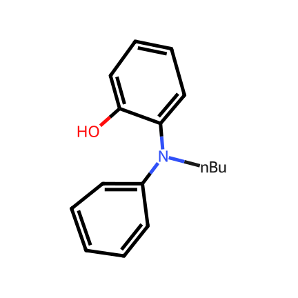 CCCCN(c1ccccc1)c1ccccc1O